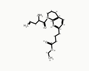 C=CCC(N)C(=O)N1CCCc2ccc(CCCC(=O)OCC)nc21